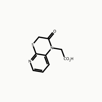 O=C(O)CN1C(=O)CSc2ncccc21